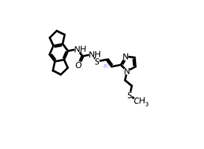 CSCCn1ccnc1/C=C/SNC(=O)Nc1c2c(cc3c1CCC3)CCC2